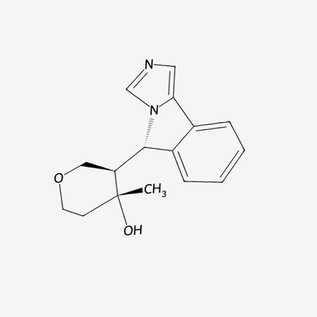 C[C@@]1(O)CCOC[C@H]1[C@H]1c2ccccc2-c2cncn21